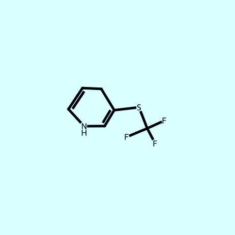 FC(F)(F)SC1=CNC=CC1